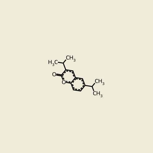 CC(C)c1ccc2oc(=O)c(C(C)C)cc2c1